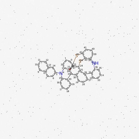 c1ccc(N(c2ccc3ccccc3c2)c2ccccc2-c2cc3c4c5c(cccc25)-c2ccccc2Nc2cccc(c2S4)S3)cc1